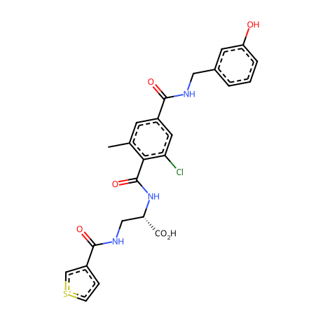 Cc1cc(C(=O)NCc2cccc(O)c2)cc(Cl)c1C(=O)N[C@@H](CNC(=O)c1ccsc1)C(=O)O